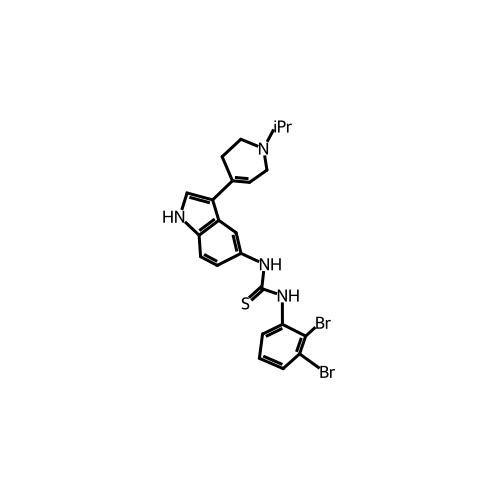 CC(C)N1CC=C(c2c[nH]c3ccc(NC(=S)Nc4cccc(Br)c4Br)cc23)CC1